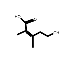 C/C(CCO)=C(\C)C(=O)O